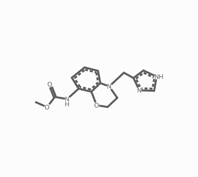 COC(=O)Nc1cccc2c1OCCN2Cc1c[nH]cn1